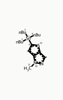 CCC[CH2][Sn]([CH2]CCC)([CH2]CCC)[c]1cc2c(cnn2C)s1